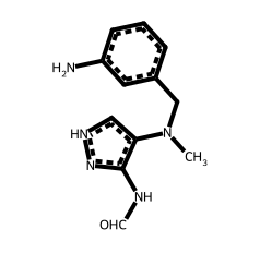 CN(Cc1cccc(N)c1)c1c[nH]nc1NC=O